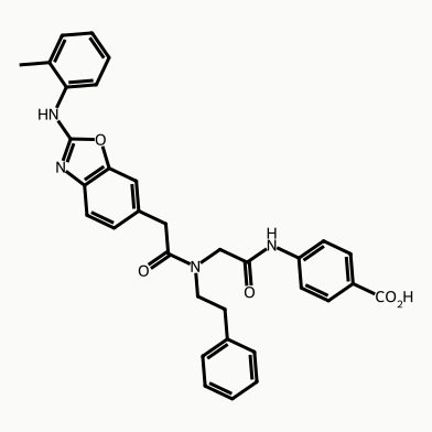 Cc1ccccc1Nc1nc2ccc(CC(=O)N(CCc3ccccc3)CC(=O)Nc3ccc(C(=O)O)cc3)cc2o1